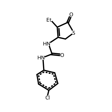 CCC1=C(NC(=O)Nc2ccc(Cl)cc2)CSC1=O